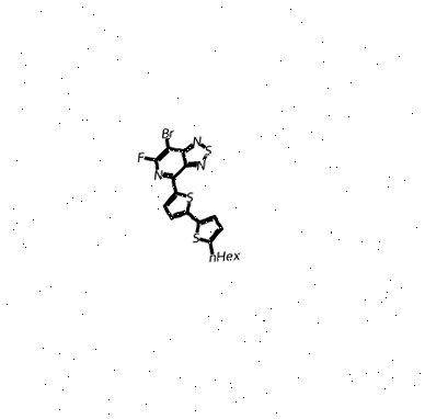 CCCCCCc1ccc(-c2ccc(-c3nc(F)c(Br)c4nsnc34)s2)s1